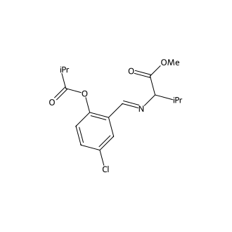 COC(=O)C(N=Cc1cc(Cl)ccc1OC(=O)C(C)C)C(C)C